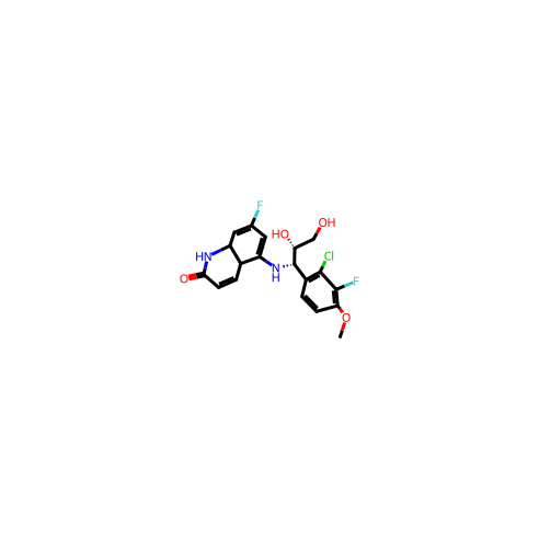 COc1ccc([C@H](NC2=CC(F)=CC3NC(=O)C=CC23)[C@H](O)CO)c(Cl)c1F